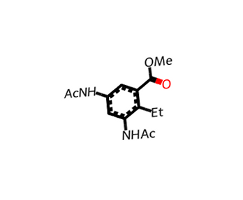 CCc1c(NC(C)=O)cc(NC(C)=O)cc1C(=O)OC